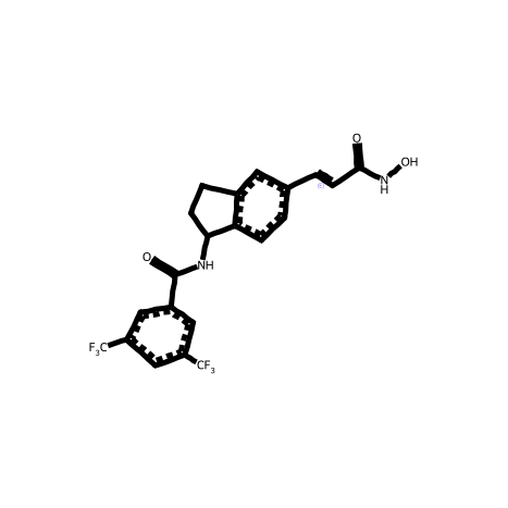 O=C(/C=C/c1ccc2c(c1)CCC2NC(=O)c1cc(C(F)(F)F)cc(C(F)(F)F)c1)NO